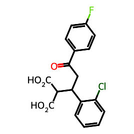 O=C(CC(c1ccccc1Cl)C(C(=O)O)C(=O)O)c1ccc(F)cc1